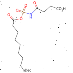 CCCCCCCCCCCCCCCCCC(=O)OS(=O)(=O)NC(=O)CCC(=O)O